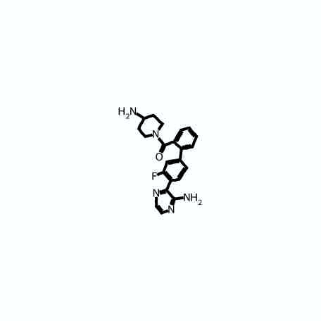 Nc1nccnc1-c1ccc(-c2ccccc2C(=O)N2CCC(N)CC2)cc1F